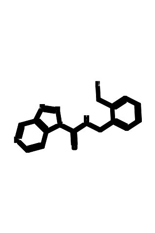 O=C(NCc1ccccc1CF)n1nnc2cnccc21